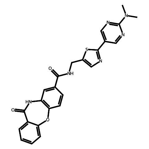 CN(C)c1ncc(-c2ncc(CNC(=O)c3ccc4c(c3)NC(=O)c3ccccc3O4)s2)cn1